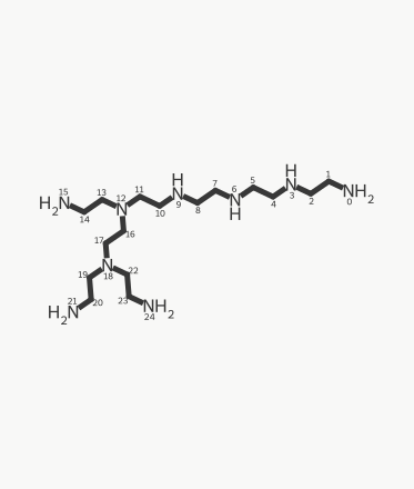 NCCNCCNCCNCCN(CCN)CCN(CCN)CCN